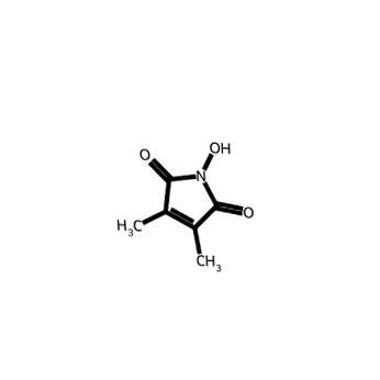 CC1=C(C)C(=O)N(O)C1=O